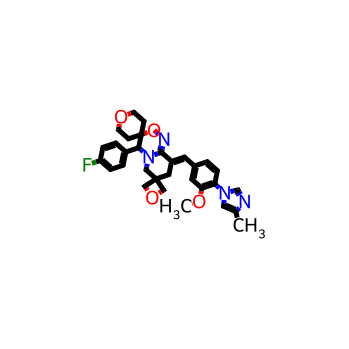 COc1cc(/C=C2\CC3(COC3)CN3C2=NOC2(CCOCC2)C3c2ccc(F)cc2)ccc1-n1cnc(C)c1